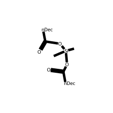 CCCCCCCCCCC(=O)O[Si](C)(C)OC(=O)CCCCCCCCCC